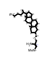 CN/C=C(\N)CSSC1CCC2(C)C(=CCC3C2CCC2(C)C(C(C)CCCC(C)C)CCC32)C1